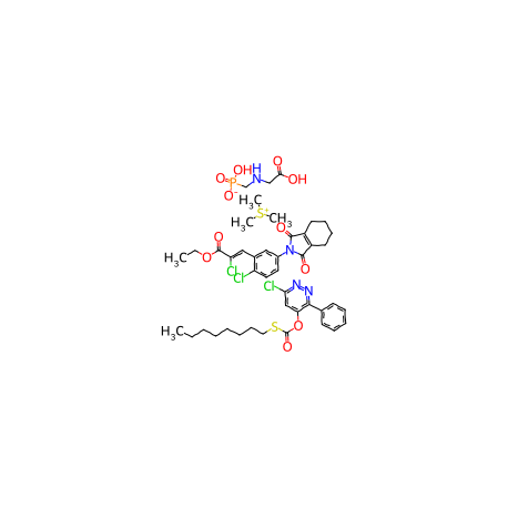 CCCCCCCCSC(=O)Oc1cc(Cl)nnc1-c1ccccc1.CCOC(=O)/C(Cl)=C/c1cc(N2C(=O)C3=C(CCCC3)C2=O)ccc1Cl.C[S+](C)C.O=C(O)CNCP(=O)([O-])O